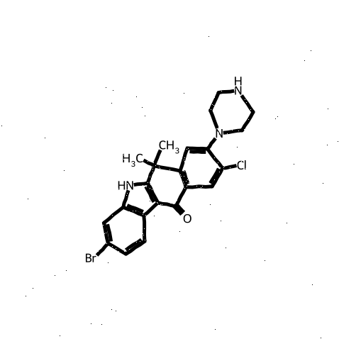 CC1(C)c2cc(N3CCNCC3)c(Cl)cc2C(=O)c2c1[nH]c1cc(Br)ccc21